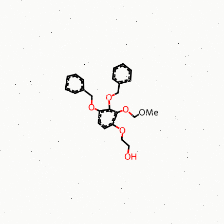 COCOc1c(OCCO)ccc(OCc2ccccc2)c1OCc1ccccc1